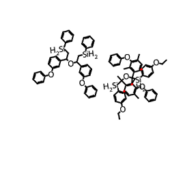 CCOc1ccc([SiH2]C(C)(OC(C)([SiH2]c2ccc(OCC)cc2)c2ccc(C)c(Oc3ccccc3)c2C)c2ccc(C)c(Oc3ccccc3)c2C)cc1.c1ccc(Oc2cccc(C(C[SiH2]c3ccccc3)OC(C[SiH2]c3ccccc3)c3cccc(Oc4ccccc4)c3)c2)cc1